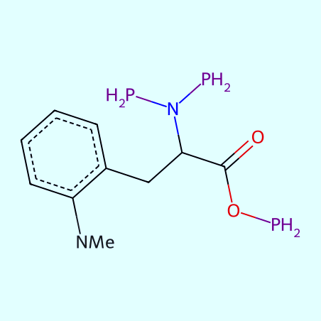 CNc1ccccc1CC(C(=O)OP)N(P)P